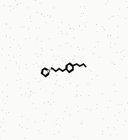 CCCCc1ccc(CCCC[n+]2ccccc2)cc1